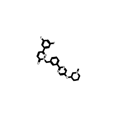 CN1CCCC(Oc2cnc(-c3cccc(Cn4nc(-c5cc(F)cc(F)c5)ccc4=O)c3)nc2)C1